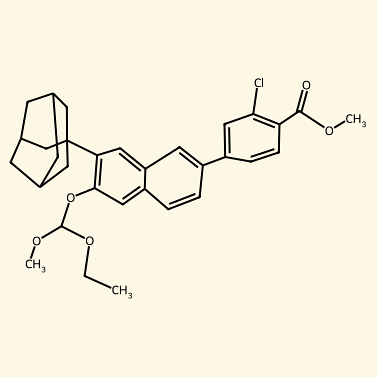 CCOC(OC)Oc1cc2ccc(-c3ccc(C(=O)OC)c(Cl)c3)cc2cc1C12CC3CC(CC(C3)C1)C2